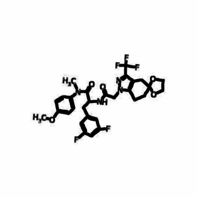 COc1ccc(N(C)C(=O)C(Cc2cc(F)cc(F)c2)NC(=O)Cn2nc(C(F)(F)F)c3c2CCC2(C3)OCCO2)cc1